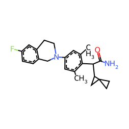 Cc1cc(N2CCc3cc(F)ccc3C2)cc(C)c1C(C(N)=O)C1CC12CC2